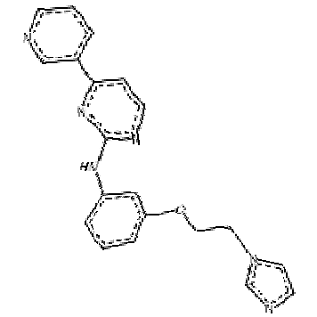 c1cc(Nc2nccc(-c3cccnc3)n2)cc(OCCn2ccnc2)c1